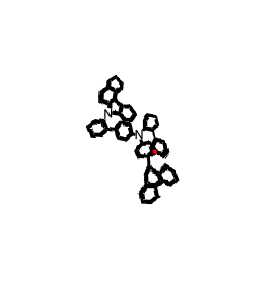 c1ccc(-c2ccccc2N(c2ccc(-c3ccccc3-n3c4ccccc4c4c5ccccc5ccc43)cc2)c2ccc(-c3cc4ccccc4c4ccccc34)cc2)cc1